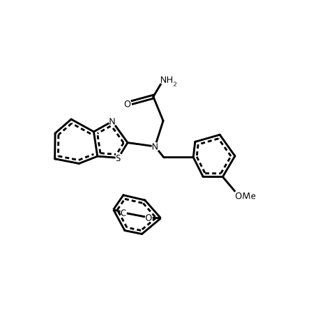 COc1cccc(CN(CC(N)=O)c2nc3ccccc3s2)c1.c1cc2ccc1CO2